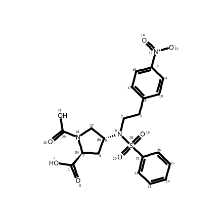 O=C(O)[C@@H]1C[C@@H](N(CCc2ccc([N+](=O)[O-])cc2)S(=O)(=O)c2ccccc2)CN1C(=O)O